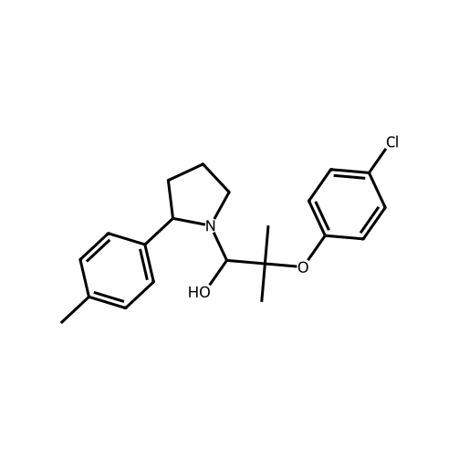 Cc1ccc(C2CCCN2C(O)C(C)(C)Oc2ccc(Cl)cc2)cc1